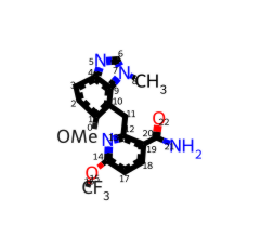 COc1ccc2ncn(C)c2c1Cc1nc(OC(F)(F)F)ccc1C(N)=O